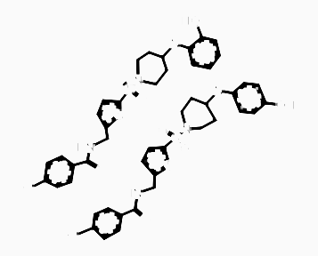 O=C(NCc1ccc(S(=O)(=O)N2CCC(Nc3ccc(O)cc3)CC2)s1)c1ccc(Cl)cc1.O=C(NCc1ccc(S(=O)(=O)N2CCC(Nc3ccccc3O)CC2)s1)c1ccc(Cl)cc1